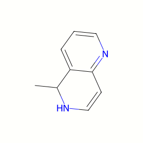 CC1NC=Cc2ncccc21